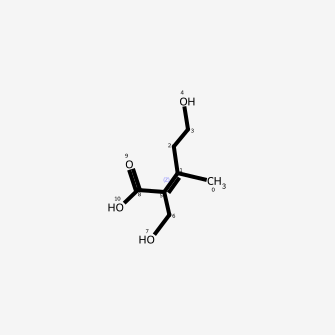 C/C(CCO)=C(\CO)C(=O)O